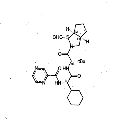 CC(C)(C)[C@H](NC(=O)[C@@H](NC(=O)c1cnccn1)C1CCCCC1)C(=O)N1C[C@@H]2CCC[C@@H]2[C@H]1C=O